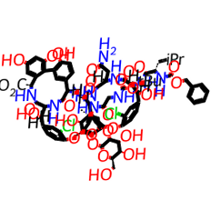 CC(C)C[C@H](NC(=O)OCc1ccccc1)C(=O)N[C@H]1C(=O)N[C@@H](CC(N)=O)C(=O)N[C@H]2C(=O)N[C@H]3C(=O)N[C@H](C(=O)N[C@H](C(=O)O)c4cc(O)cc(O)c4-c4cc3ccc4O)[C@H](O)c3ccc(c(Cl)c3)Oc3cc2cc(c3OC2O[C@H](CO)[C@@H](O)[C@H](O)C2O[C@H]2C[C@](C)(NC(=O)CNC(=O)OC(C)(C)C)[C@H](O)[C@H](C)O2)Oc2ccc(cc2Cl)[C@H]1O